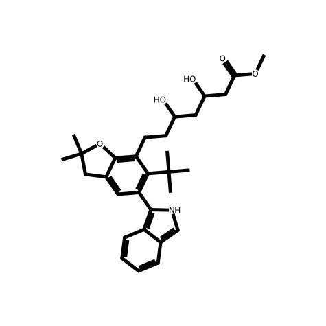 COC(=O)CC(O)CC(O)CCc1c2c(cc(-c3[nH]cc4ccccc34)c1C(C)(C)C)CC(C)(C)O2